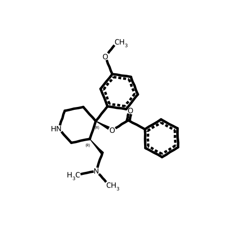 COc1cccc([C@@]2(OC(=O)c3ccccc3)CCNC[C@@H]2CN(C)C)c1